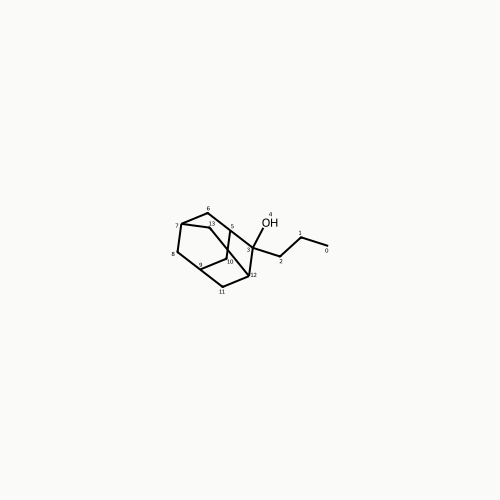 CCCC1(O)C2CC3CC(C2)CC1C3